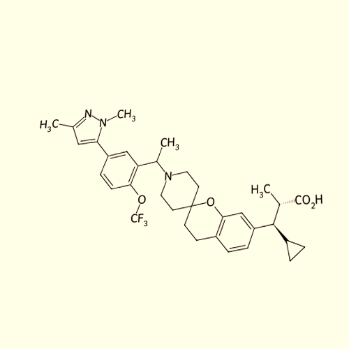 Cc1cc(-c2ccc(OC(F)(F)F)c(C(C)N3CCC4(CCc5ccc([C@H](C6CC6)[C@H](C)C(=O)O)cc5O4)CC3)c2)n(C)n1